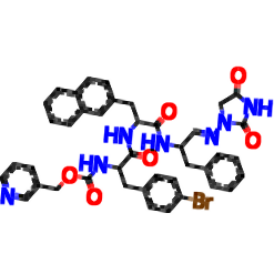 O=C1CN(N=CC(Cc2ccccc2)NC(=O)C(Cc2ccc3ccccc3c2)NC(=O)C(Cc2ccc(Br)cc2)NC(=O)OCc2cccnc2)C(=O)N1